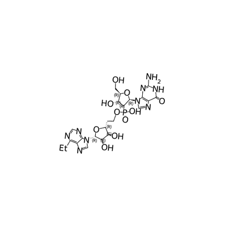 CCc1ncnc2c1ncn2[C@@H]1O[C@H](CCOP(=O)(O)[C@@H]2[C@H](O)[C@@H](CO)O[C@H]2n2cnc3c(=O)[nH]c(N)nc32)[C@@H](O)[C@H]1O